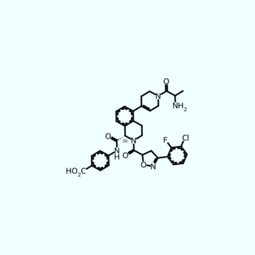 CC(N)C(=O)N1CC=C(c2cccc3c2CCN(C(=O)C2CC(c4cccc(Cl)c4F)=NO2)[C@@H]3C(=O)Nc2ccc(C(=O)O)cc2)CC1